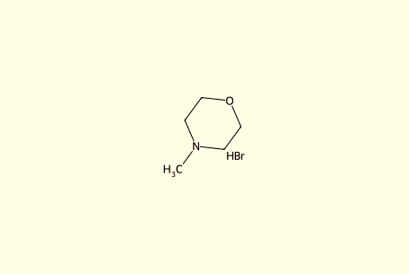 Br.CN1CCOCC1